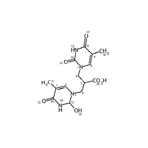 CC1=CN(CC(Cn2cc(C)c(=O)[nH]c2=O)C(=O)O)C(O)NC1=O